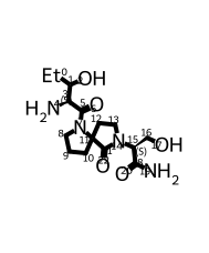 CCC(O)[C@H](N)C(=O)N1CCCC12CCN([C@@H](CO)C(N)=O)C2=O